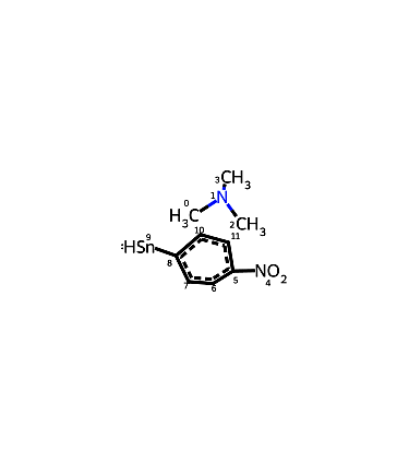 CN(C)C.O=[N+]([O-])c1cc[c]([SnH])cc1